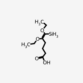 CCOC([SiH3])=C(CCCC(=O)O)OCC